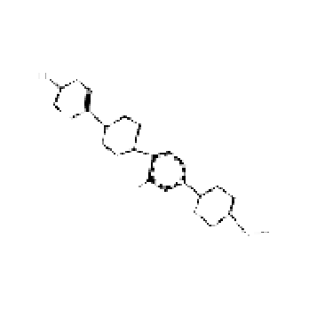 CCCCCC1CCC(c2ccc(C3CCC(C4=CCC(CC)CO4)CC3)c(F)c2)CC1